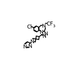 FC(F)(F)CN1Cc2cc(Cl)ccc2-n2c(nnc2C2CC3(C2)CN(c2ccncn2)C3)C1